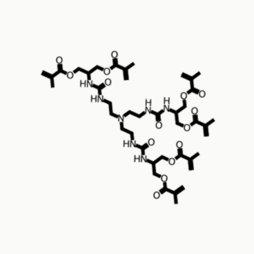 C=C(C)C(=O)OCC(COC(=O)C(=C)C)NC(=O)NCCN(CCNC(=O)NC(COC(=O)C(=C)C)COC(=O)C(=C)C)CCNC(=O)NC(COC(=O)C(=C)C)COC(=O)C(=C)C